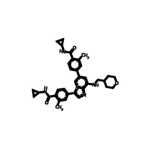 Cc1cc(-c2cc(NCC3CCOCC3)c3ncc(-c4ccc(C(=O)NC5CC5)c(C)c4)n3c2)ccc1C(=O)NC1CC1